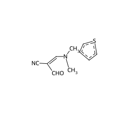 CN(C)C=C(C#N)C=O.c1ccsc1